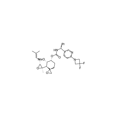 CO[C@@H]1[C@H](OC(=O)N[C@H](c2ccc(N3CC(F)(F)C3)nc2)C(C)C)CC[C@]2(CO2)[C@H]1[C@@]1(C)O[C@@H]1CC=C(C)C